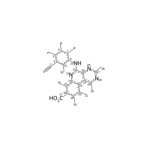 C#Cc1c(C)c(C)c(C)c(Nc2nc3c(C)c(C(=O)O)c(C)c(C)c3c3c(C)nc(C)nc23)c1C